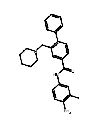 Bc1ccc(NC(=O)c2ccc(-c3ccccc3)c(CN3CCCCC3)c2)cc1C